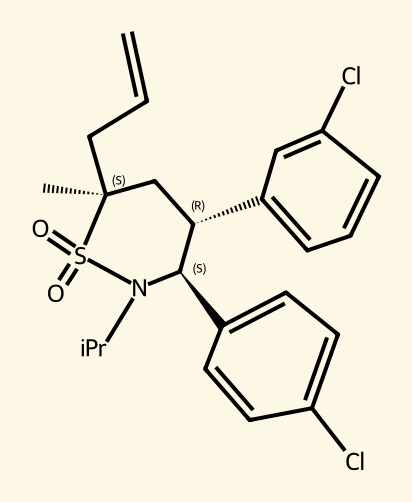 C=CC[C@@]1(C)C[C@H](c2cccc(Cl)c2)[C@@H](c2ccc(Cl)cc2)N(C(C)C)S1(=O)=O